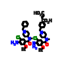 CCOc1cc(N)c(Cl)cc1C(=O)N(C)C1CCN(Cc2ccccc2)CC1.CCOc1cc(N)c(Cl)cc1C(=O)N(C)C1CCN(Cc2ccccc2)CC1.O=C(O)C=CC(=O)O